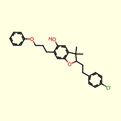 CC1(C)c2cc(O)c(CCCOc3ccccc3)cc2OC1CCc1ccc(Cl)cc1